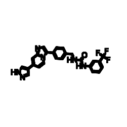 O=C(NCc1ccc(-c2cnc3cc(-c4cn[nH]c4)ccn23)cc1)Nc1cccc(C(F)(F)F)c1